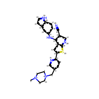 CN1CCN(Cc2ccc(-c3cc4c(Nc5ccc6[nH]ccc6c5)c(C#N)cnc4s3)nc2)CC1